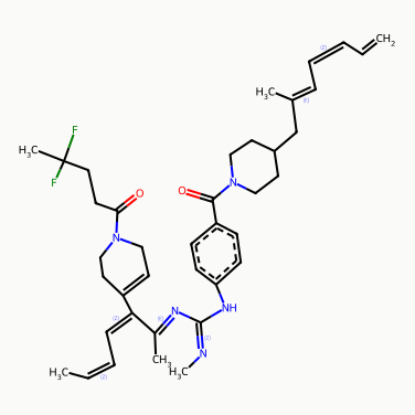 C=C/C=C\C=C(/C)CC1CCN(C(=O)c2ccc(NC(=N/C)/N=C(C)/C(=C\C=C/C)C3=CCN(C(=O)CCC(C)(F)F)CC3)cc2)CC1